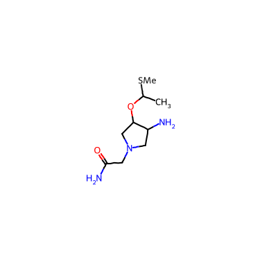 CSC(C)OC1CN(CC(N)=O)CC1N